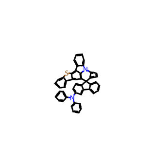 c1ccc(N(c2ccccc2)c2ccc3c(c2)-c2ccccc2C32c3ccccc3-n3c4ccccc4c4c5sc6ccccc6c5cc2c43)cc1